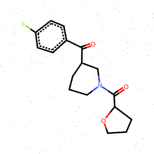 O=C(c1ccc(F)cc1)C1CCCN(C(=O)C2CCCO2)C1